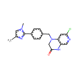 Cn1cc(C(F)(F)F)nc1-c1ccc(CN2CC(=O)Nc3cnc(Cl)cc32)cc1